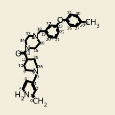 C=C/C=C(\C=C/N)CN1CCC(C(=O)N2CCN(Cc3cccc(Oc4ccc(C)cc4)c3)CC2)CC1